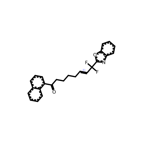 O=C(CCCC/C=C/C(F)(F)c1nc2ccccc2o1)c1cccc2ccccc12